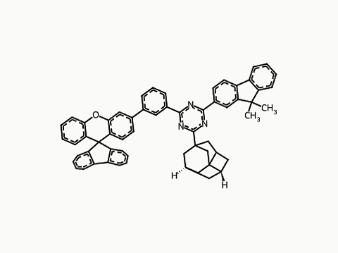 CC1(C)c2ccccc2-c2ccc(-c3nc(-c4cccc(-c5ccc6c(c5)Oc5ccccc5C65c6ccccc6-c6ccccc65)c4)nc(C45CC6C[C@@H]7C[C@@H](C4)CC67C5)n3)cc21